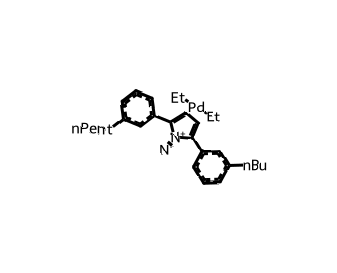 CCCCCc1cccc(C2=CC=C(c3cccc(CCCC)c3)[N+]2=[N-])c1.C[CH2][Pd][CH2]C